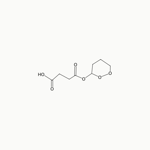 O=C(O)CCC(=O)OC1CCCOO1